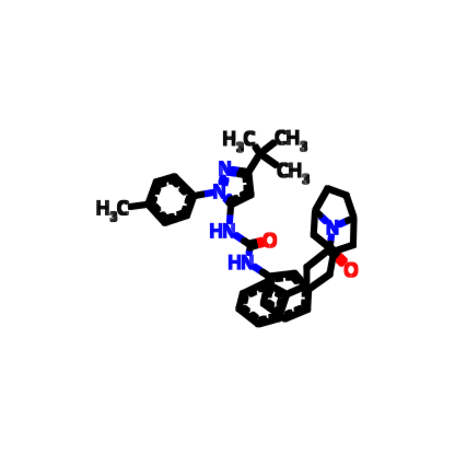 Cc1ccc(-n2nc(C(C)(C)C)cc2NC(=O)Nc2cccc(CC3CC4CCC(C3)N4C(=O)CCc3ccccc3)c2)cc1